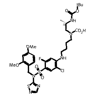 COc1ccc(CN(c2ncns2)S(=O)(=O)c2cc(Cl)c(NCCCCN(C[C@H](C)NC(=O)OC(C)(C)C)C(=O)O)cc2F)c(OC)c1